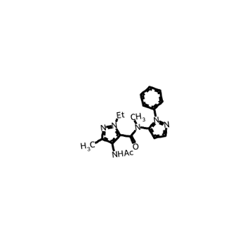 CCn1nc(C)c(NC(C)=O)c1C(=O)N(C)c1ccnn1-c1ccccc1